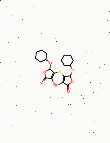 O=C1OC(OC2CCCCC2)C(SC2=C(Br)C(=O)OC2OC2CCCCC2)=C1Br